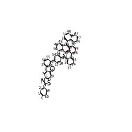 c1ccc(-c2nc3cc4c(cc3s2)oc2c(-c3ccc(N(c5ccccc5-c5ccccc5)c5ccc(-c6cccc7ccccc67)c6ccccc56)cc3)cccc24)cc1